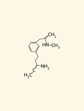 C=C=C(N)CCc1cccc(CC(=C)NC)c1